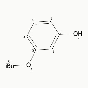 CCC(C)Oc1cccc(O)c1